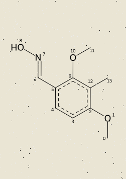 COc1ccc(/C=N/O)c(OC)c1C